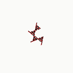 CCCCc1cc(C)c(N(c2ccc(C)cc2)c2ccc(-c3ccc(N(c4ccc(-c5ccc(N(c6ccc(-c7ccc(N(c8ccc(C)cc8)c8c(C)cc(CCCC)cc8C)cc7)cc6)c6c(C)cc(CCCC)cc6C)cc5)cc4)c4c(C)cc(CCCC)cc4C)cc3)cc2)c(C)c1